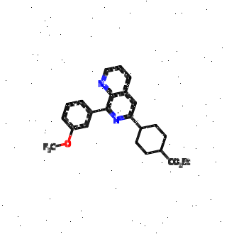 CCOC(=O)C1CCC(c2cc3cccnc3c(-c3cccc(OC(F)(F)F)c3)n2)CC1